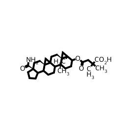 CC(C)(CC(=O)OC1CC[C@]2(C)C3CCC4C5CCC[C@]5(C(N)=O)CC[C@]45CC35CC[C@]23CC13C)C(=O)O